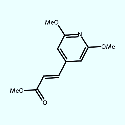 COC(=O)/C=C/c1cc(OC)nc(OC)c1